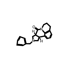 O=C1[C@H]2CN(Cc3ccccc3)C[C@H]2c2cccc3c2N1CCC3